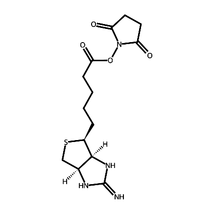 N=C1N[C@H]2[C@H](CS[C@H]2CCCCC(=O)ON2C(=O)CCC2=O)N1